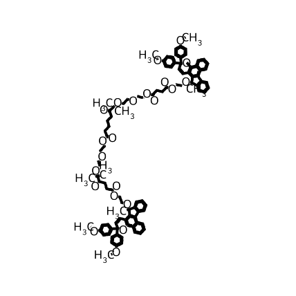 COc1ccc(C2(c3ccc(OC)cc3)C=Cc3c4c(c5ccccc5c3O2)-c2ccccc2C4(C)OCCOC(=O)CCC(=O)OCCOCCOC(C)(C)C(=O)CCCCC(=O)OCCOCCOC(C)(C)C(=O)CCC(=O)OCCOC2(C)c3ccccc3-c3c2c2c(c4ccccc34)OC(c3ccc(OC)cc3)(c3ccc(OC)cc3)C=C2)cc1